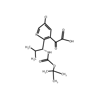 CC(C)[C@@H](NC(=O)OC(C)(C)C)c1ncc(Cl)cc1C(=O)C(=O)O